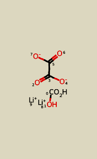 O=C(O)O.O=C([O-])C(=O)[O-].[Li+].[Li+]